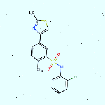 Cc1nc(-c2ccc(C)c(S(=O)(=O)Nc3ccccc3Cl)c2)cs1